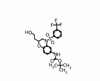 CC(C)(C)OC(=O)Nc1ccc2c(c1)N(S(=O)(=O)c1cccc(C(F)(F)F)c1)CC(CCO)O2